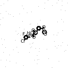 O=C(c1cccc(N2CC[C@@](O)(C(=O)NCc3cc(F)cc(Cl)c3)C2=O)c1)N1CCOCC1